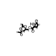 CC(=O)OCC(COC(=O)C1CCC(=O)N1)OC(C)=O